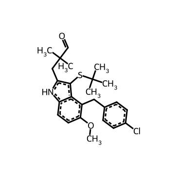 COc1ccc2[nH]c(CC(C)(C)C=O)c(SC(C)(C)C)c2c1Cc1ccc(Cl)cc1